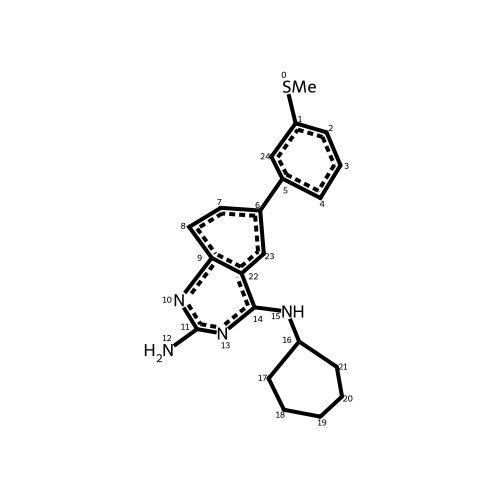 CSc1cccc(-c2ccc3nc(N)nc(NC4CCCCC4)c3c2)c1